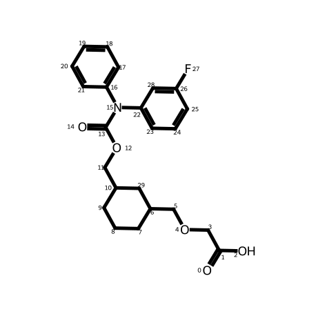 O=C(O)COCC1CCCC(COC(=O)N(c2ccccc2)c2cccc(F)c2)C1